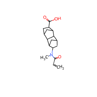 C=CC(=O)N(C)C1CC2CC1C1C3CC(C(=O)O)C(C3)C21